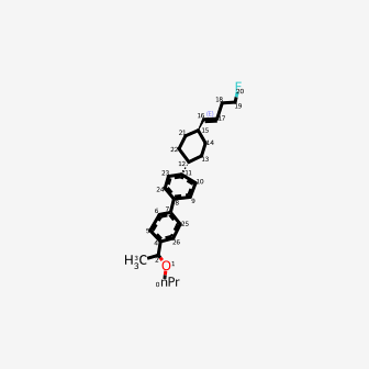 CCCOC(C)c1ccc(-c2ccc([C@H]3CC[C@H](/C=C/CCF)CC3)cc2)cc1